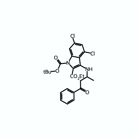 CCOC(=O)c1c(NC(C)CC(=O)c2ccccc2)c2c(Cl)cc(Cl)cc2n1C(=O)OC(C)(C)C